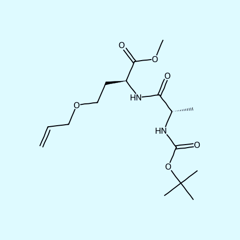 C=CCOCC[C@H](NC(=O)[C@H](C)NC(=O)OC(C)(C)C)C(=O)OC